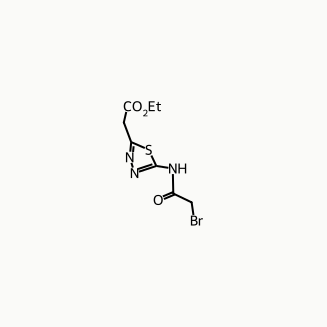 CCOC(=O)Cc1nnc(NC(=O)CBr)s1